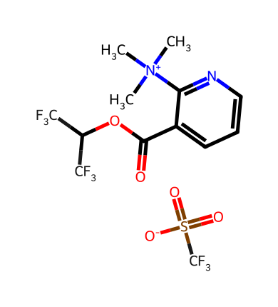 C[N+](C)(C)c1ncccc1C(=O)OC(C(F)(F)F)C(F)(F)F.O=S(=O)([O-])C(F)(F)F